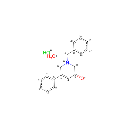 Cl.O.O=C1C=C(c2ccccc2)CN(Cc2ccccc2)C1